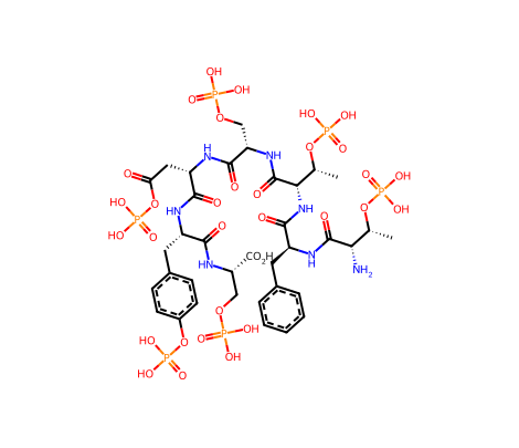 C[C@@H](OP(=O)(O)O)[C@H](N)C(=O)N[C@@H](Cc1ccccc1)C(=O)N[C@H](C(=O)N[C@@H](COP(=O)(O)O)C(=O)N[C@@H](CC(=O)OP(=O)(O)O)C(=O)N[C@@H](Cc1ccc(OP(=O)(O)O)cc1)C(=O)N[C@@H](COP(=O)(O)O)C(=O)O)[C@@H](C)OP(=O)(O)O